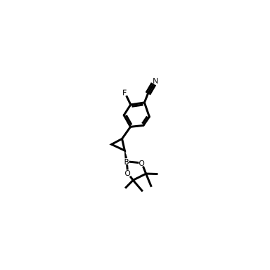 CC1(C)OB([C@H]2CC2c2ccc(C#N)c(F)c2)OC1(C)C